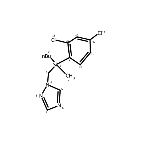 CCCC[Si](C)(Cn1cncn1)c1ccc(Cl)cc1Cl